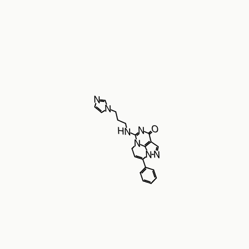 O=c1nc(NCCCn2ccnc2)n2c3c1cnn3C(c1ccccc1)=CC2